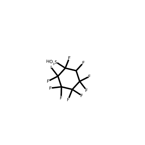 O=S(=O)(O)C1(F)C(F)C(F)(F)C(F)(F)C(F)(F)C1(F)I